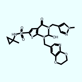 Cn1cc(CN2C(=O)c3cc(S(=O)(=O)NC4(C)CC4)sc3N(Cc3cnc4c(c3)OCCO4)C2O)cn1